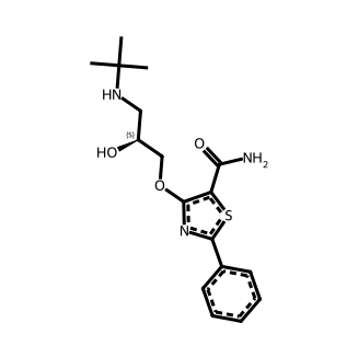 CC(C)(C)NC[C@H](O)COc1nc(-c2ccccc2)sc1C(N)=O